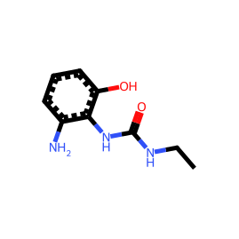 CCNC(=O)Nc1c(N)cccc1O